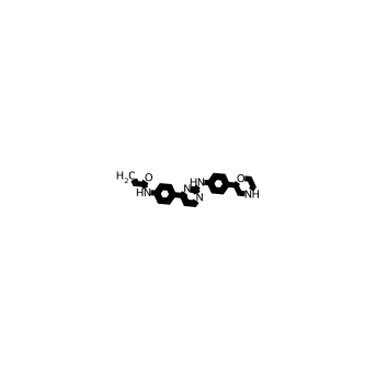 C=CC(=O)Nc1ccc(-c2ccnc(Nc3ccc(C4CNCCO4)cc3)n2)cc1